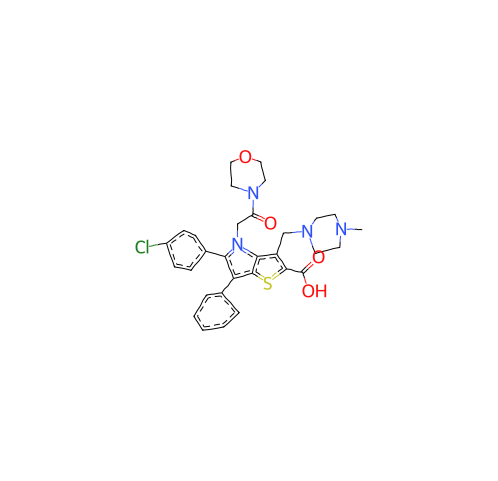 CN1CCN(Cc2c(C(=O)O)sc3c(-c4ccccc4)c(-c4ccc(Cl)cc4)n(CC(=O)N4CCOCC4)c23)CC1